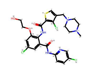 CN1CCN(Cc2csc(C(=O)Nc3c(OCCO)cc(Cl)cc3C(=O)Nc3ccc(Cl)cn3)c2Cl)CC1